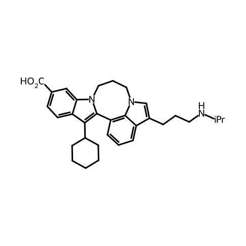 CC(C)NCCCc1cn2c3c(cccc13)-c1c(C3CCCCC3)c3ccc(C(=O)O)cc3n1CCC2